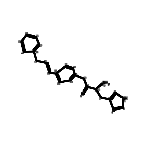 N[C@@H](Cc1c[nH]cn1)C(=O)Cc1ccc(C=CCc2ccccc2)cc1